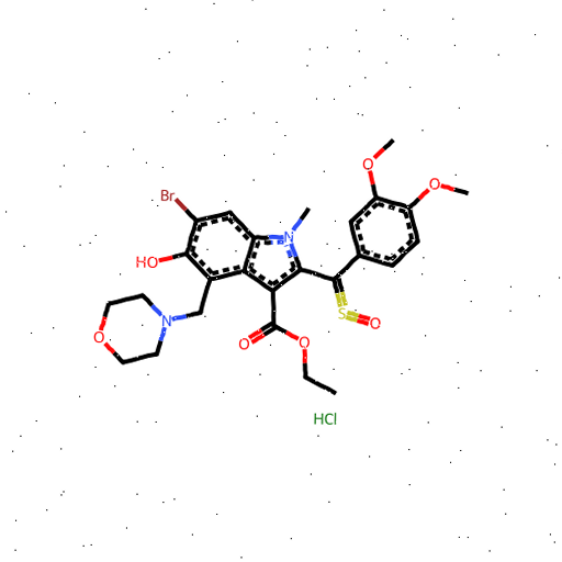 CCOC(=O)c1c(C(=S=O)c2ccc(OC)c(OC)c2)n(C)c2cc(Br)c(O)c(CN3CCOCC3)c12.Cl